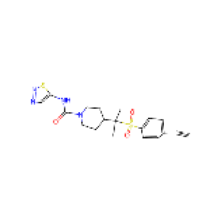 C#Cc1ccc(S(=O)(=O)C(C)(C)C2CCN(C(=O)Nc3cnns3)CC2)cc1